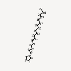 C1CCCC1.[CH2]CCCCCCCCCCCCCCCCC